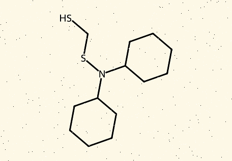 SCSN(C1CCCCC1)C1CCCCC1